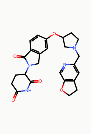 O=C1CCC(N2Cc3cc(OC4CCN(Cc5cc6c(cn5)OCC6)C4)ccc3C2=O)C(=O)N1